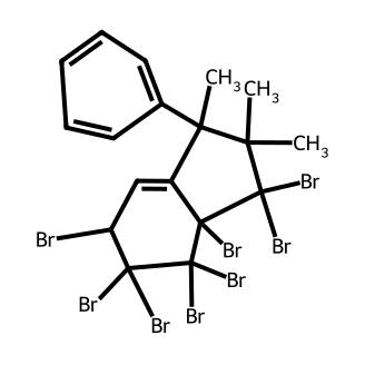 CC1(c2ccccc2)C2=CC(Br)C(Br)(Br)C(Br)(Br)C2(Br)C(Br)(Br)C1(C)C